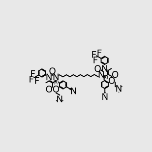 CC1=C(C(=O)OCCN(C)C)[C@@H](c2ccc(C#N)cc2)N(CCCCCCCCCCCCN2C(=O)N(c3cccc(C(F)(F)F)c3)C(C)=C(C(=O)OCCN(C)C)[C@H]2c2ccc(C#N)cc2)C(=O)N1c1cccc(C(F)(F)F)c1